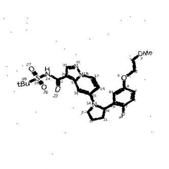 COCCOc1ccc(F)c(C2CCCN2c2ccn3ncc(C(=O)NS(=O)(=O)C(C)(C)C)c3c2)c1